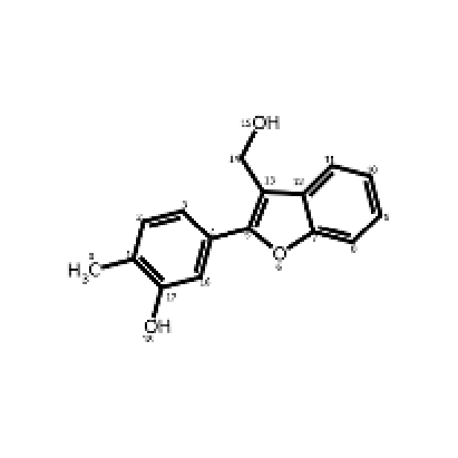 Cc1ccc(-c2oc3ccccc3c2CO)cc1O